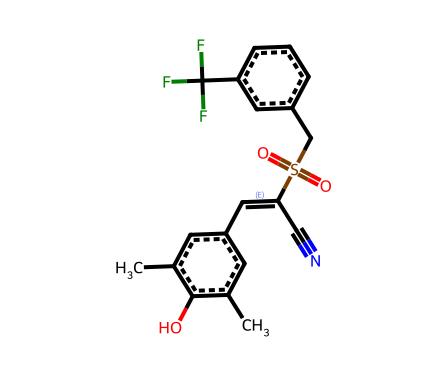 Cc1cc(/C=C(\C#N)S(=O)(=O)Cc2cccc(C(F)(F)F)c2)cc(C)c1O